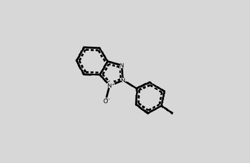 Cc1ccc(-n2nc3ccccc3[n+]2[O-])cc1